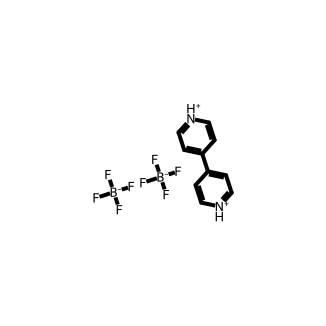 F[B-](F)(F)F.F[B-](F)(F)F.c1cc(-c2cc[nH+]cc2)cc[nH+]1